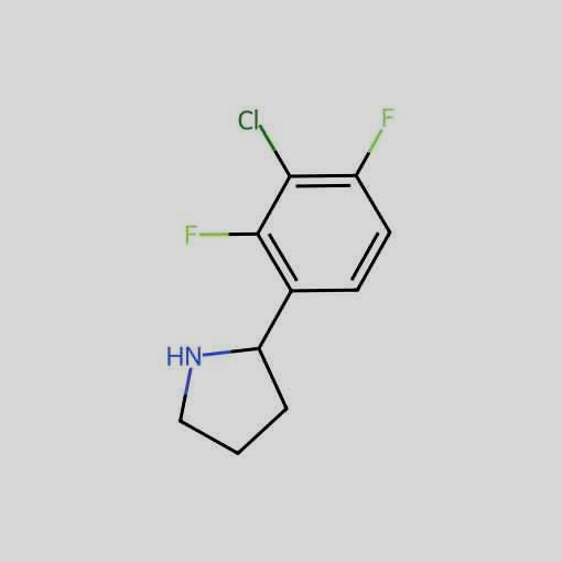 Fc1ccc(C2CCCN2)c(F)c1Cl